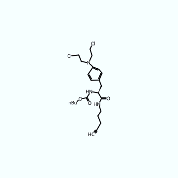 C#CCCCNC(=O)[C@H](Cc1ccc(N(CCCl)CCCl)cc1)NC(=O)OCCCC